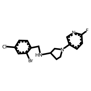 Fc1ccc(N2CCC(NCc3ccc(Cl)cc3Br)C2)cn1